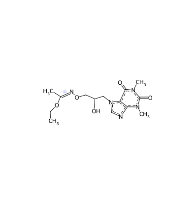 CCO/C(C)=N\OCC(O)Cn1cnc2c1c(=O)n(C)c(=O)n2C